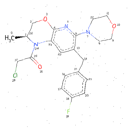 C[C@H]1COc2nc(N3CCOCC3)c(Cc3ccc(F)cc3)cc2N1C(=O)CCl